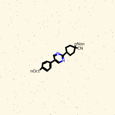 CCCCCCCCCC1(C#N)CCC(c2ncc(-c3ccc(CCCCCCCC)cc3)cn2)CC1